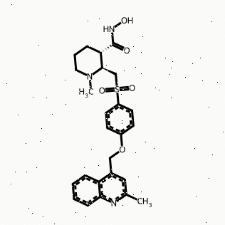 Cc1cc(COc2ccc(S(=O)(=O)C[C@@H]3[C@@H](C(=O)NO)CCCN3C)cc2)c2ccccc2n1